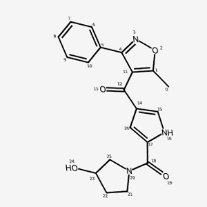 Cc1onc(-c2ccccc2)c1C(=O)c1c[nH]c(C(=O)N2CCC(O)C2)c1